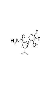 COc1c(N2CC(C(C)C)CC2C(N)=O)ccc(F)c1F